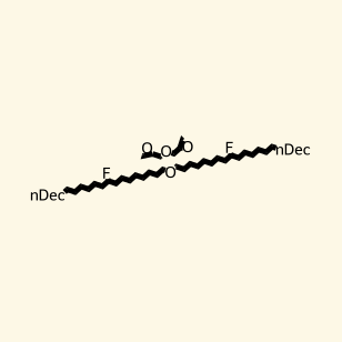 C(OCC1CO1)C1CO1.CCCCCCCCCCCCCCCCC(F)CCCCCCCCOCCCCCCCCC(F)CCCCCCCCCCCCCCCC